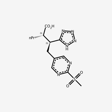 CCC[C@H](C(=O)O)[C@H](Cc1cnc(S(C)(=O)=O)nc1)c1nnn[nH]1